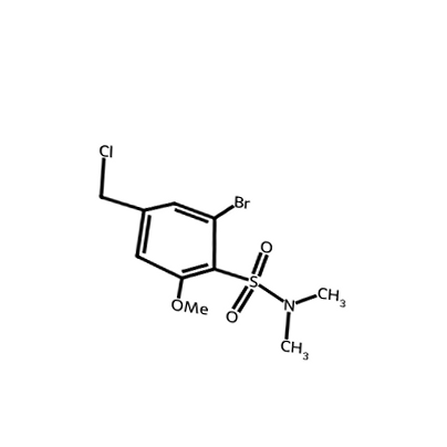 COc1cc(CCl)cc(Br)c1S(=O)(=O)N(C)C